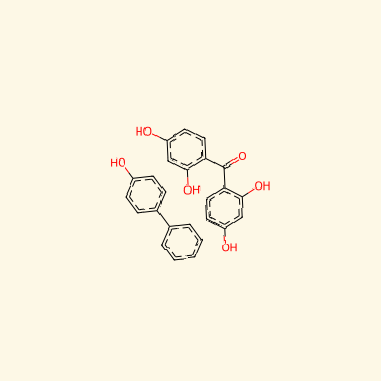 O=C(c1ccc(O)cc1O)c1ccc(O)cc1O.Oc1ccc(-c2ccccc2)cc1